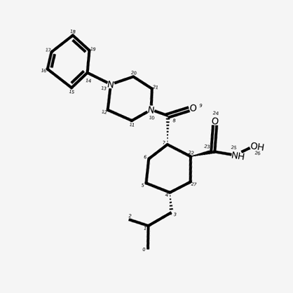 CC(C)[CH][C@@H]1CC[C@H](C(=O)N2CCN(c3ccccc3)CC2)[C@@H](C(=O)NO)C1